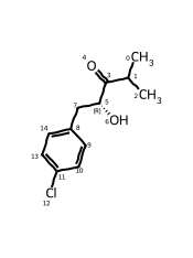 CC(C)C(=O)[C@H](O)Cc1ccc(Cl)cc1